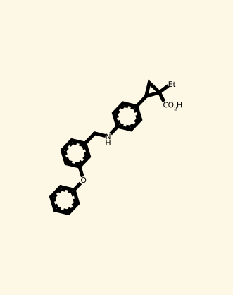 CCC1(C(=O)O)CC1c1ccc(NCc2cccc(Oc3ccccc3)c2)cc1